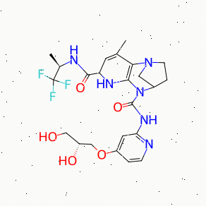 CC1=CC(C(=O)N[C@H](C)C(F)(F)F)NC2=C1N1CCC(C1)N2C(=O)Nc1cc(OC[C@H](O)CO)ccn1